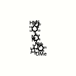 COC1CCC1(CNc1ccc(-c2ccc3[nH]ncc3c2)nn1)c1ccccn1